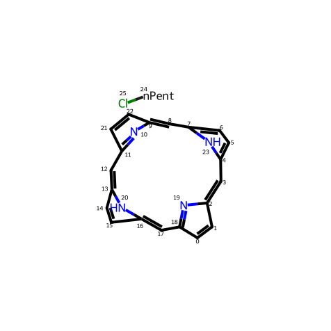 C1=Cc2cc3ccc(cc4nc(cc5ccc(cc1n2)[nH]5)C=C4)[nH]3.CCCCCCl